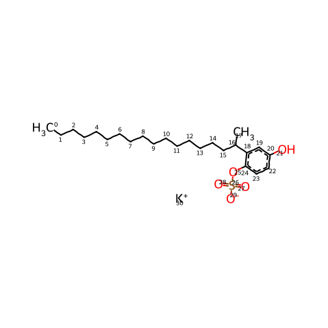 CCCCCCCCCCCCCCCCC(C)c1cc(O)ccc1OS(=O)(=O)[O-].[K+]